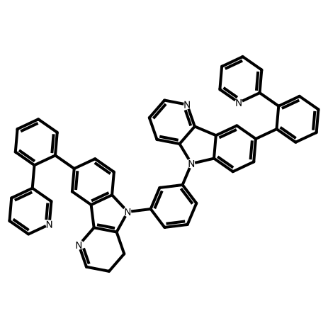 C1=Nc2c(n(-c3cccc(-n4c5ccc(-c6ccccc6-c6ccccn6)cc5c5ncccc54)c3)c3ccc(-c4ccccc4-c4cccnc4)cc23)CC1